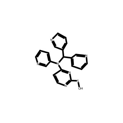 OSc1nccc(N(c2cccnc2)C(c2cccnc2)c2cccnc2)n1